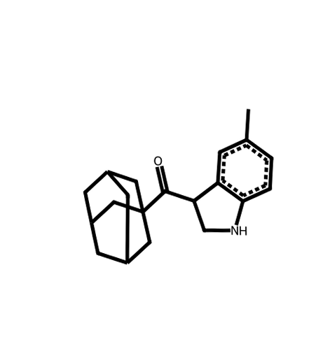 Cc1ccc2c(c1)C(C(=O)C13CC4CC(CC(C4)C1)C3)CN2